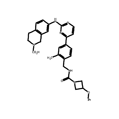 Cc1cc(-c2ccnc(Nc3ccc4c(c3)CN(C(=O)O)CC4)n2)ccc1CNC(=O)N1CC(OC(C)C)C1